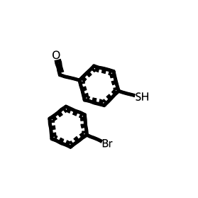 Brc1ccccc1.O=Cc1ccc(S)cc1